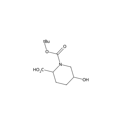 CC(C)(C)OC(=O)N1CC(O)CCC1C(=O)O